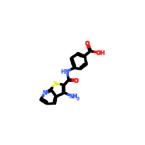 Nc1c(C(=O)Nc2ccc(C(=O)O)cc2)sc2ncccc12